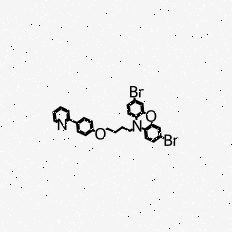 Brc1ccc2c(c1)Oc1cc(Br)ccc1N2CCCCOc1ccc(-c2ccccn2)cc1